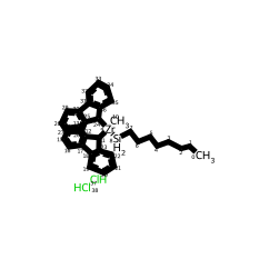 CCCCCCCC[SiH2][Zr]([CH3])([CH]1c2ccccc2-c2ccccc21)[CH]1c2ccccc2-c2ccccc21.Cl.Cl